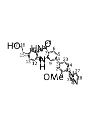 COc1cc(-c2ccc3c(c2)Nc2ccc(CCO)cc2NC3=O)ccc1-n1ccnc1